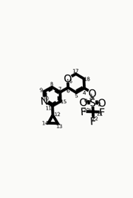 O=S(=O)(OC1=CC(c2ccnc(C3CC3)c2)OCC1)C(F)(F)F